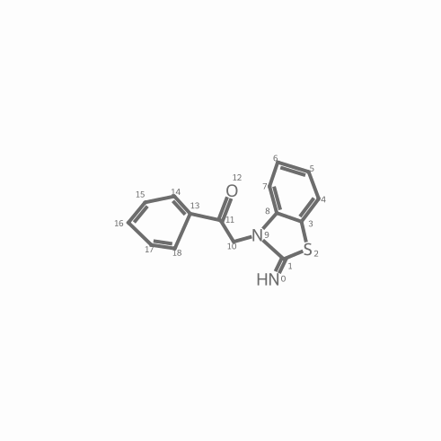 N=c1sc2ccccc2n1CC(=O)c1ccccc1